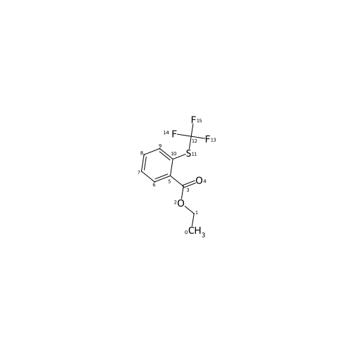 CCOC(=O)c1ccccc1SC(F)(F)F